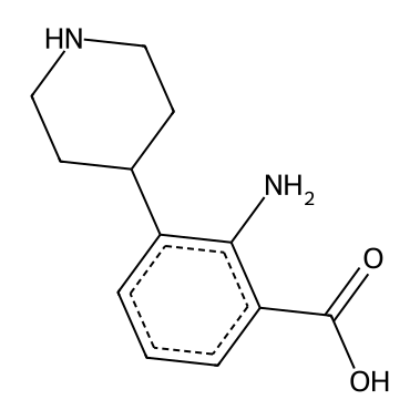 Nc1c(C(=O)O)cccc1C1CCNCC1